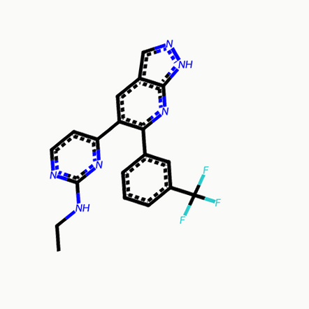 CCNc1nccc(-c2cc3cn[nH]c3nc2-c2cccc(C(F)(F)F)c2)n1